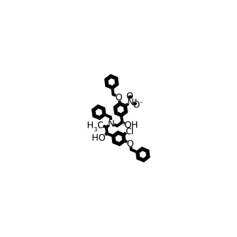 CC(C(O)c1ccc(OCc2ccccc2)c(Cl)c1)N(Cc1ccccc1)C[C@H](O)c1ccc(OCc2ccccc2)c([N+](=O)[O-])c1